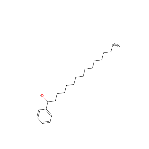 CCCCCCCCCCCCCCCCCCCCCCCC([O])c1ccccc1